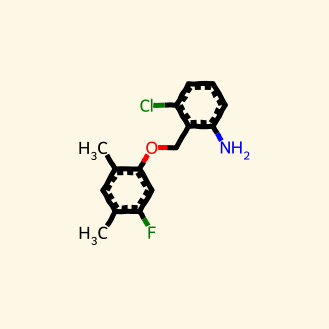 Cc1cc(C)c(OCc2c(N)cccc2Cl)cc1F